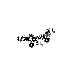 CCCCC1(CCCC)CN(c2ccccc2)c2cc(SC)c(OCC(=O)N[C@H](C(=O)NCC(=O)OC)c3ccccc3)cc2S(=O)(=O)C1